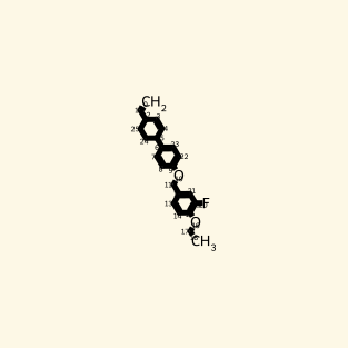 C=CC1C=CC(c2ccc(OCc3ccc(OCC)c(F)c3)cc2)CC1